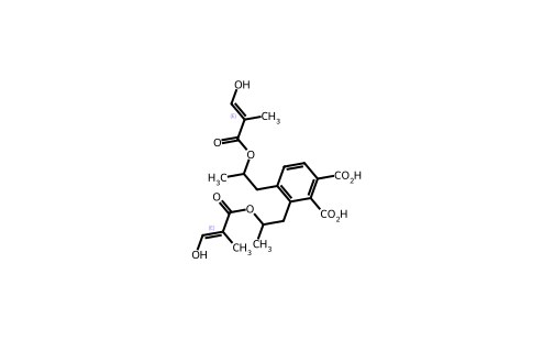 C/C(=C\O)C(=O)OC(C)Cc1ccc(C(=O)O)c(C(=O)O)c1CC(C)OC(=O)/C(C)=C/O